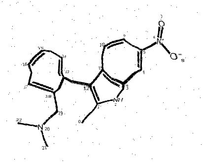 Cc1[nH]c2cc([N+](=O)[O-])ccc2c1-c1ccccc1CN(C)C